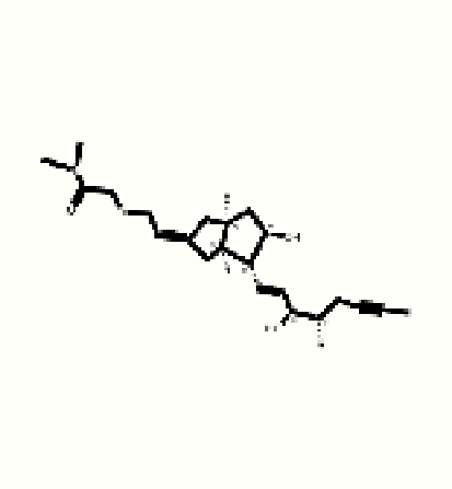 CC#CC[C@H](C)[C@@H](O)/C=C/[C@@H]1[C@H]2CC(=CCOCC(=O)N(C)C)C[C@H]2C[C@H]1O